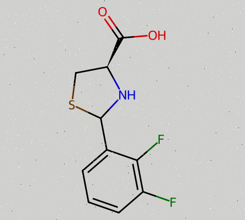 O=C(O)[C@@H]1CSC(c2cccc(F)c2F)N1